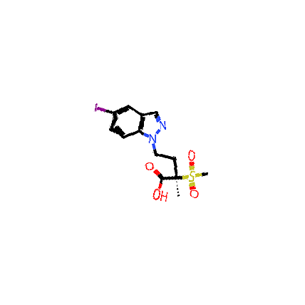 C[C@@](CCn1ncc2cc(I)ccc21)(C(=O)O)S(C)(=O)=O